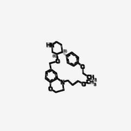 CCOc1ccc([C@H]2CCNC[C@@H]2OCc2ccc3c(c2)N(CCCOC)CCO3)cc1